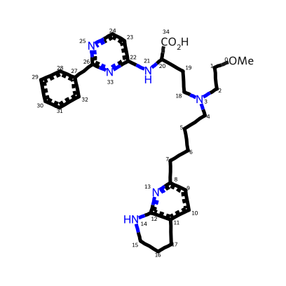 COCCN(CCCCc1ccc2c(n1)NCCC2)CCC(Nc1ccnc(-c2ccccc2)n1)C(=O)O